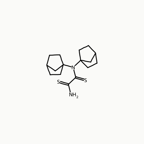 NC(=S)C(=S)N(C12CCC(CC1)C2)C12CCC(CC1)C2